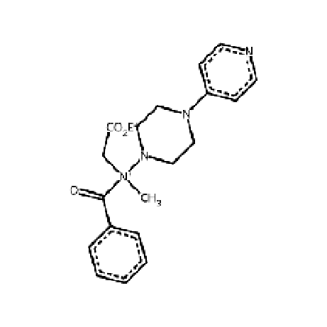 CCOC(=O)C[N+](C)(C(=O)c1ccccc1)N1CCN(c2ccncc2)CC1